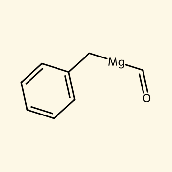 O=[CH][Mg][CH2]c1ccccc1